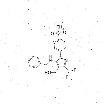 CS(=O)(=O)c1ccc(-n2nc(C(F)F)c(CO)c2NCc2ccccc2)cn1